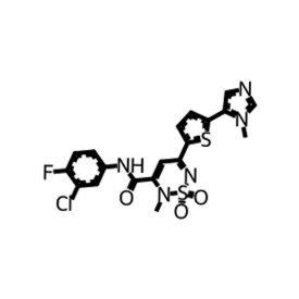 CN1C(C(=O)Nc2ccc(F)c(Cl)c2)=CC(c2ccc(-c3cncn3C)s2)=NS1(=O)=O